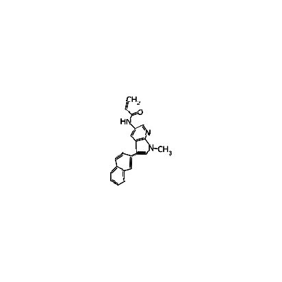 C=CC(=O)Nc1cnc2c(c1)c(-c1ccc3ccccc3c1)cn2C